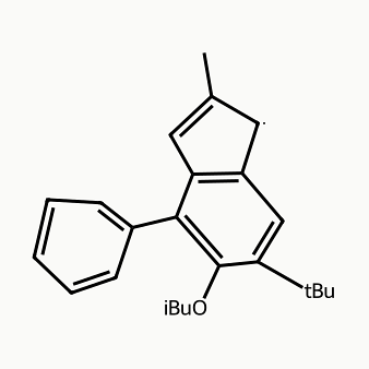 CC1=Cc2c(cc(C(C)(C)C)c(OCC(C)C)c2-c2ccccc2)[CH]1